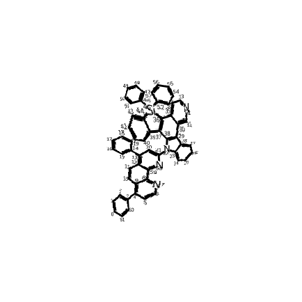 c1ccc(-c2ccnc3c2ccc2c(-c4ccccc4)cc(-n4c5ccccc5c5c6cnccc6c6c(c54)-c4ccccc4[Si]6(c4ccccc4)c4ccccc4)nc23)cc1